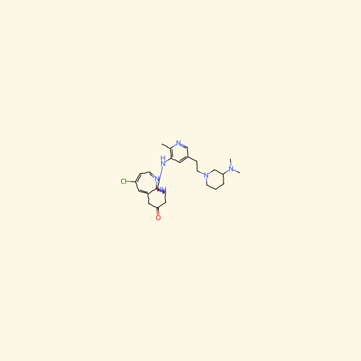 Cc1ncc(CCN2CCCC(N(C)C)C2)cc1NC1=NC=C2CC(=O)CC3=CC(Cl)=CC=NC23N1